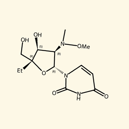 CC[C@]1(CO)O[C@@H](n2ccc(=O)[nH]c2=O)[C@H](N(C)OC)[C@@H]1O